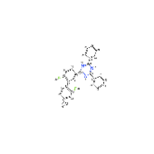 N#Cc1ccc(-c2cc(-c3nc(-c4ccccc4)nc(-c4ccccc4)n3)ccc2F)c(F)c1